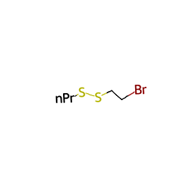 CCCSSCCBr